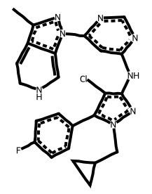 Cc1nn(-c2cc(Nc3nn(CC4CC4)c(-c4ccc(F)cc4)c3Cl)ncn2)c2c1=CCNC=2